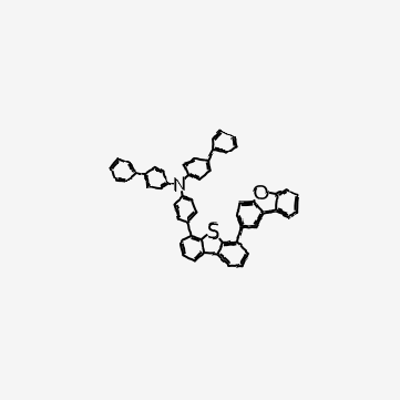 c1ccc(-c2ccc(N(c3ccc(-c4ccccc4)cc3)c3ccc(-c4cccc5c4sc4c(-c6ccc7oc8ccccc8c7c6)cccc45)cc3)cc2)cc1